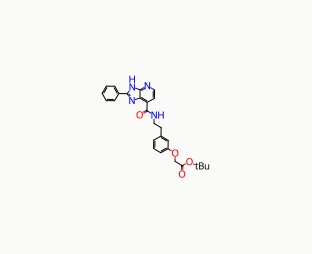 CC(C)(C)OC(=O)COc1cccc(CCNC(=O)c2ccnc3[nH]c(-c4ccccc4)nc23)c1